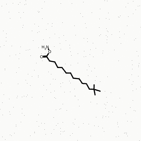 CC(C)(C)CCCCCCCCCCCC(=O)ON